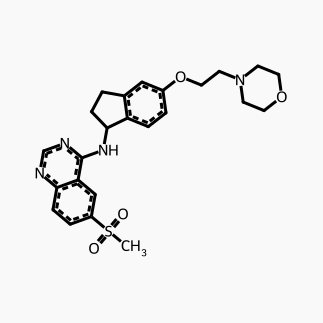 CS(=O)(=O)c1ccc2ncnc(NC3CCc4cc(OCCN5CCOCC5)ccc43)c2c1